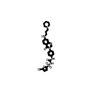 O=C(Nc1ccc(-n2cnc3cc(NCCCN4CCCCC4)ccc3c2=O)cc1)NS(=O)(=O)c1ccc(Cl)s1